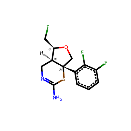 NC1=NC[C@H]2[C@@H](CF)OC[C@]2(c2cccc(F)c2F)S1